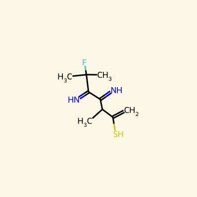 C=C(S)C(C)C(=N)C(=N)C(C)(C)F